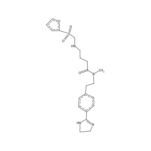 CN(CCc1ccc(C2=NCCN2)cc1)C(=O)CCCNCS(=O)(=O)c1ccco1